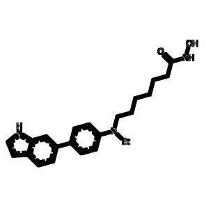 CCN(CCCCCCC(=O)NO)c1ccc(-c2ccc3cc[nH]c3c2)cc1